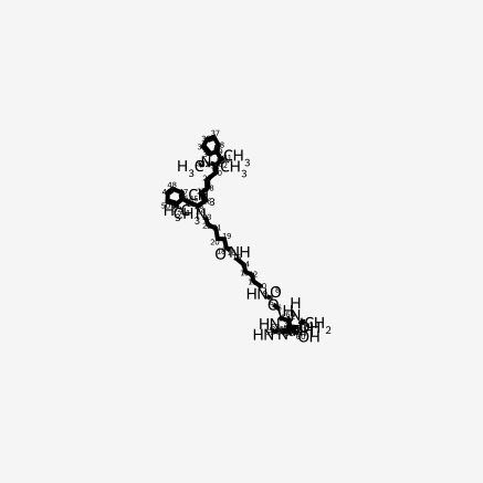 C=C1N[C@H]2[C@H](COC(=O)NCCCCCCNC(=O)CCCCC\N=C(/C=C/C=C/C=C3\N(C)c4ccccc4C3(C)C)C(C)(C)c3ccccc3C)NC(=N)N3CCC(O)(O)[C@]23N1